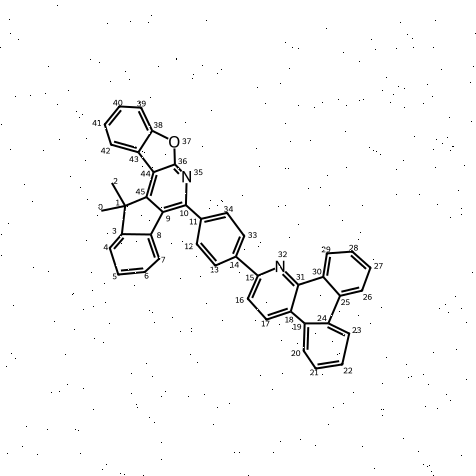 CC1(C)c2ccccc2-c2c(-c3ccc(-c4ccc5c6ccccc6c6ccccc6c5n4)cc3)nc3oc4ccccc4c3c21